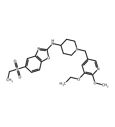 CCOc1cc(CN2CCC(Nc3nc4cc(S(=O)(=O)CC)ccc4o3)CC2)cnc1OC